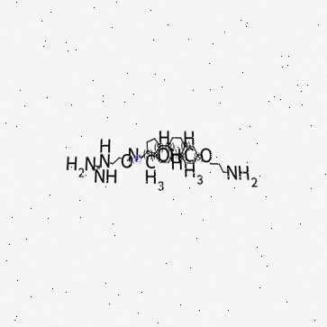 C[C@]12CC[C@H](OCCCN)C[C@H]1CC[C@@H]1[C@@H]2CC[C@]2(C)[C@@H](/C=N/OCCNC(=N)N)CC[C@]12O